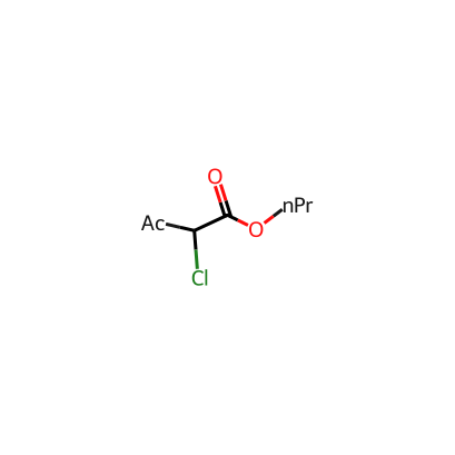 CCCOC(=O)C(Cl)C(C)=O